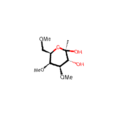 COC[C@H]1O[C@@](C)(O)[C@H](O)[C@@H](OC)[C@H]1OC